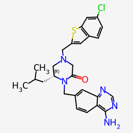 CC(C)C[C@@H]1CN(Cc2cc3ccc(Cl)cc3s2)CC(=O)N1Cc1ccc2c(N)ncnc2c1